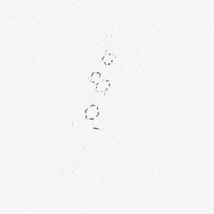 CCc1cc(Oc2nccn3c(-c4cn(C5COC5)nc4C(F)(F)F)cnc23)ccc1C(=O)OCCOCCO